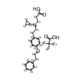 O=C(O)C(F)(F)F.O=C(O)CCN(CCc1ccc(OCCc2ccccc2)cc1)C1CC1